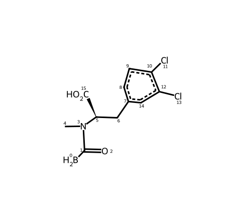 BC(=O)N(C)[C@H](Cc1ccc(Cl)c(Cl)c1)C(=O)O